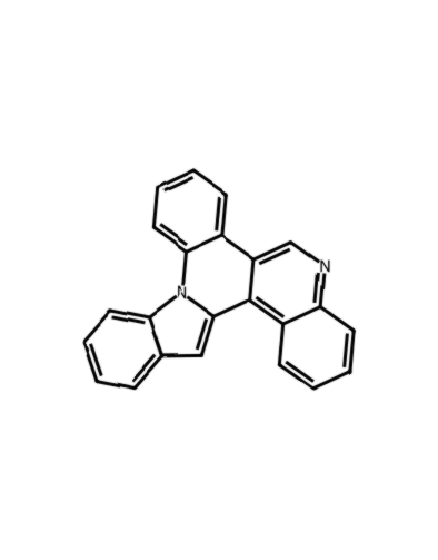 c1ccc2c(c1)cc1c3c4ccccc4ncc3c3ccccc3n21